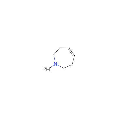 [2H]N1CCC=CCC1